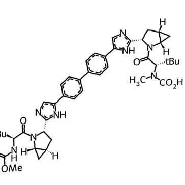 COC(=O)N[C@H](C(=O)N1[C@H](c2ncc(-c3ccc(-c4ccc(-c5cnc([C@@H]6C[C@@H]7C[C@@H]7N6C(=O)[C@@H](N(C)C(=O)O)C(C)(C)C)[nH]5)cc4)cc3)[nH]2)C[C@H]2C[C@@H]21)C(C)(C)C